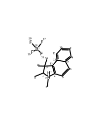 CC1[NH+](C)c2ccc3ccccc3c2C1(C)C.F[B-](F)(F)F